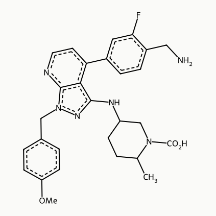 COc1ccc(Cn2nc(NC3CCC(C)N(C(=O)O)C3)c3c(-c4ccc(CN)c(F)c4)ccnc32)cc1